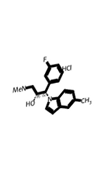 CNC[C@@H](O)[C@H](c1cccc(F)c1)n1ccc2cc(C)ccc21.Cl